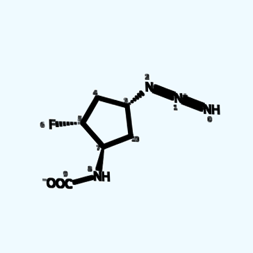 N=[N+]=N[C@H]1C[C@@H](F)[C@H](NC(=O)[O-])C1